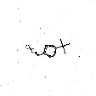 CC(C)(C)c1ccc(C=C=O)cc1